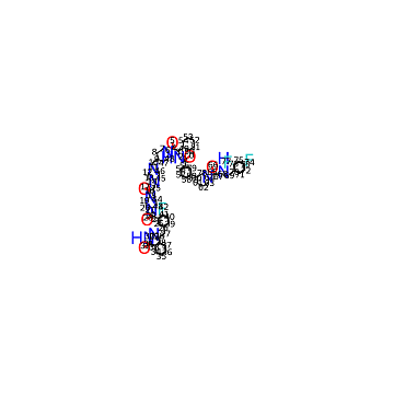 O=C(N[C@@H](C(=O)N1CCC(CN2CCN(CC(=O)N3CCN(C(=O)c4cc(Cc5n[nH]c(=O)c6ccccc56)ccc4F)CC3)CC2)CC1)C1CCCCC1)c1cccc(C2CCCN(C(=O)CNCc3ccc(F)cc3F)C2)c1